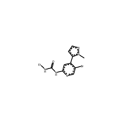 CCNC(=O)Nc1cc(-c2ccnn2C)c(Br)cn1